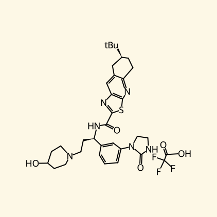 CC(C)(C)[C@H]1CCc2nc3sc(C(=O)N[C@H](CCN4CCC(O)CC4)c4cccc(N5CCNC5=O)c4)nc3cc2C1.O=C(O)C(F)(F)F